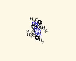 CC(Nc1c(C)cccc1C)=C1C=CCC(=C(C)Nc2c(C)cccc2C)N1